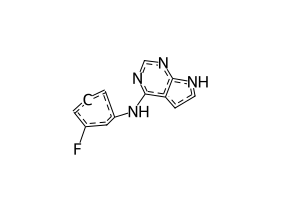 Fc1cccc(Nc2ncnc3[nH]ccc23)c1